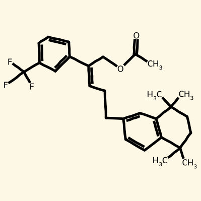 CC(=O)OCC(=CCCc1ccc2c(c1)C(C)(C)CCC2(C)C)c1cccc(C(F)(F)F)c1